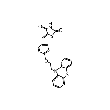 O=C1NC(=O)C(=Cc2ccc(OCCN3c4ccccc4Sc4ccccc43)cc2)S1